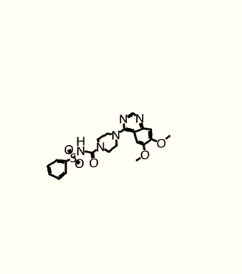 COc1cc2ncnc(N3CCN(C(=O)NS(=O)(=O)c4ccccc4)CC3)c2cc1OC